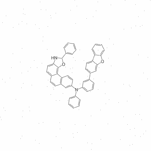 c1ccc(C2Nc3ccc4ccc5cc(N(c6ccccc6)c6cccc(-c7ccc8c(c7)oc7ccccc78)c6)ccc5c4c3O2)cc1